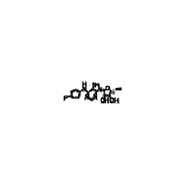 C#C[C@H]1O[C@@H](n2cnc3c(Nc4ccc(F)cc4)ncnc32)[C@H](O)[C@@H]1O